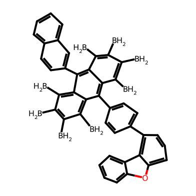 Bc1c(B)c(B)c2c(-c3ccc4ccccc4c3)c3c(B)c(B)c(B)c(B)c3c(-c3ccc(-c4cccc5oc6ccccc6c45)cc3)c2c1B